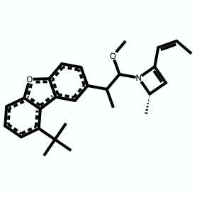 C/C=C\C1=C[C@H](C)N1C(OC)C(C)c1ccc2oc3cccc(C(C)(C)C)c3c2c1